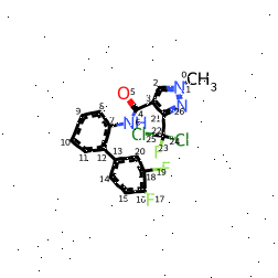 Cn1cc(C(=O)Nc2ccccc2-c2ccc(F)c(F)c2)c(C(F)(Cl)Cl)n1